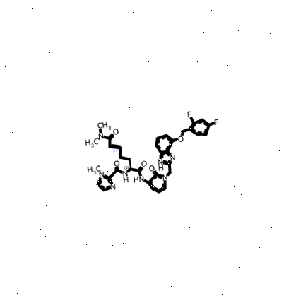 CN(C)C(=O)/C=C/CC[C@H](NC(=O)c1nccn1C)C(=O)Nc1cccn(Cc2nc3c(OCc4ccc(F)cc4F)cccc3[nH]2)c1=O